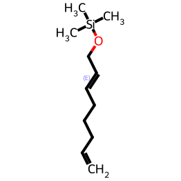 C=CCCC/C=C/CO[Si](C)(C)C